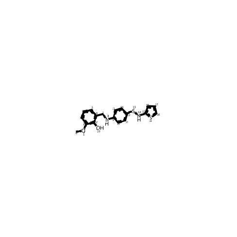 COc1cccc(CNc2ccc(SNc3cccs3)cc2)c1O